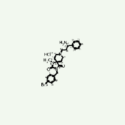 CN1C(=O)N(Cc2ccc(Br)cc2)C(=O)C12CCN(CC[C@H](N)c1ccccc1)CC2.Cl